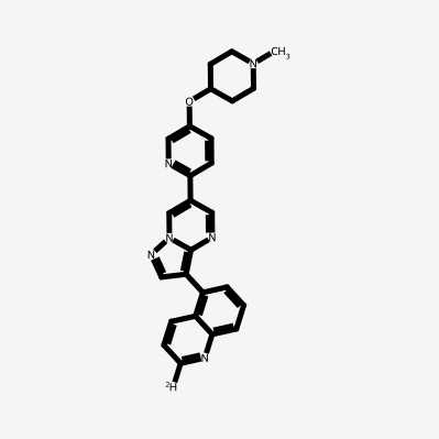 [2H]c1ccc2c(-c3cnn4cc(-c5ccc(OC6CCN(C)CC6)cn5)cnc34)cccc2n1